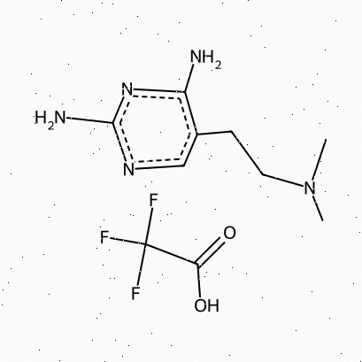 CN(C)CCc1cnc(N)nc1N.O=C(O)C(F)(F)F